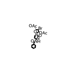 CC(=O)OC[C@H]1O[C@@H](n2ccc(NC(=O)c3ccccc3)nc2=O)[C@H](OC(C)=O)[C@H]1Br